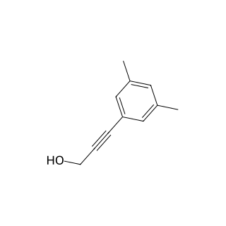 Cc1cc(C)cc(C#CCO)c1